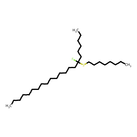 CCCCCCCCCCCCCCCC(F)(CCCCCC)SCCCCCCCC